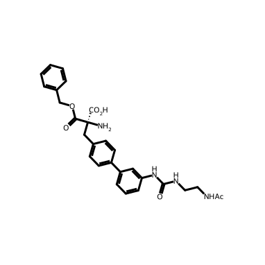 CC(=O)NCCNC(=O)Nc1cccc(-c2ccc(C[C@@](N)(C(=O)O)C(=O)OCc3ccccc3)cc2)c1